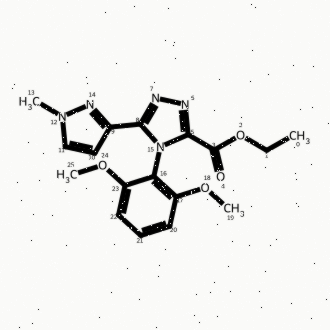 CCOC(=O)c1nnc(-c2ccn(C)n2)n1-c1c(OC)cccc1OC